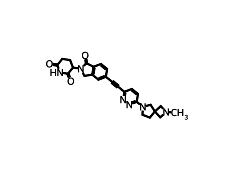 CN1CC2(CCN(c3ccc(C#Cc4ccc5c(c4)CN(C4CCC(=O)NC4=O)C5=O)nn3)C2)C1